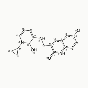 O=c1[nH]c2ccc(Cl)cc2cc1CNC1=CC=CN(C2CC2)C1O